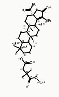 CCC(=O)[C@@]12CC[C@]3(C)[C@H](CC[C@@H]4[C@@]5(C)CC[C@H](OC(=O)CC(C)(C)C(=O)OC(C)(C)C)C(C)(C)[C@@H]5CC[C@]43C)C1=C(C(C)C)C(=O)C2